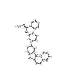 N/N=C(\N)c1ccccc1-c1ccc(-c2ccc3oc4ccc5ccccc5c4c3c2)cc1